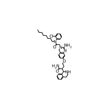 CCCCCCCCN(C(=O)CN1Cc2ccc(OCCC(C(N)=O)C3NCCc4ccccc43)cc2N=C1N)c1ccccc1Cl